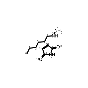 CCCCCCNN.O=C1C=CC(=O)N1